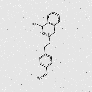 C=Cc1ccc(CCNCc2ccccc2C(C)C)cc1